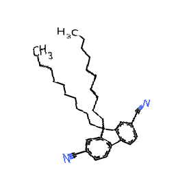 CCCCCCCCCCC1(CCCCCCCCCC)c2cc(C#N)ccc2-c2ccc(C#N)cc21